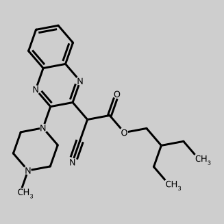 CCC(CC)COC(=O)C(C#N)c1nc2ccccc2nc1N1CCN(C)CC1